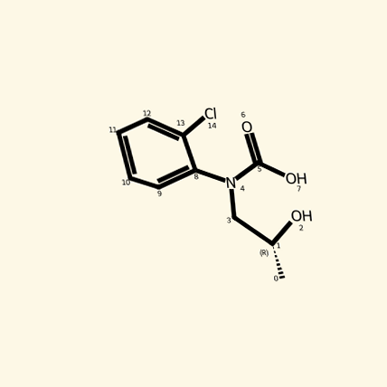 C[C@@H](O)CN(C(=O)O)c1ccccc1Cl